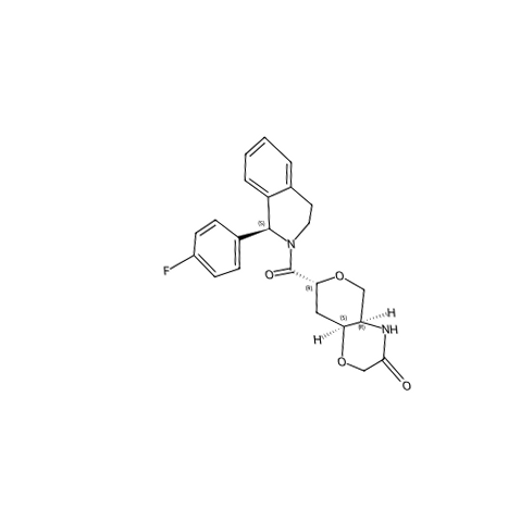 O=C1CO[C@H]2C[C@H](C(=O)N3CCc4ccccc4[C@@H]3c3ccc(F)cc3)OC[C@H]2N1